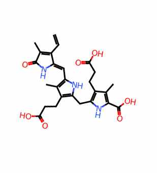 C=CC1=C(C)C(=O)N/C1=C\c1[nH]c(Cc2[nH]c(C(=O)O)c(C)c2CCC(=O)O)c(CCC(=O)O)c1C